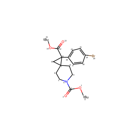 CC(C)(C)OC(=O)N1CCC2(CC1)CC2(C(=O)OC(C)(C)C)c1ccc(Br)cc1